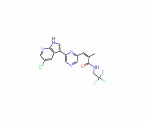 CC(=Cc1cncc(-c2c[nH]c3ncc(Cl)cc23)n1)C(=O)NCC(F)(F)F